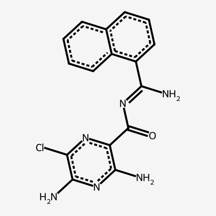 NC(=NC(=O)c1nc(Cl)c(N)nc1N)c1cccc2ccccc12